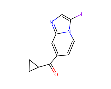 O=C(c1ccn2c(I)cnc2c1)C1CC1